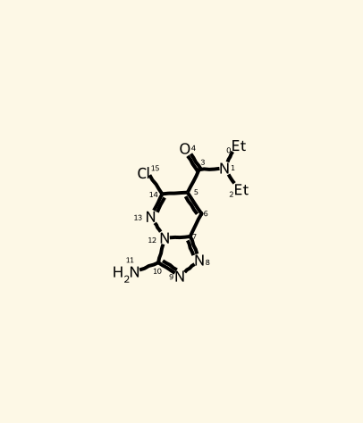 CCN(CC)C(=O)c1cc2nnc(N)n2nc1Cl